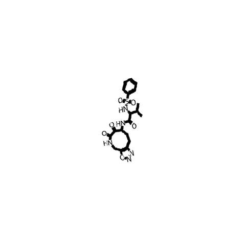 CC(C)C(NS(=O)(=O)c1ccccc1)C(=O)NC1CCc2nnoc2CNC(=O)C1=O